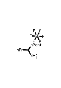 CCCCCC([NH3+])CCC.[F][Sb-]([F])([F])([F])([F])[F]